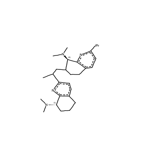 CC(C)c1ccc2c(n1)[C@H](N(C)C)C(CC(C)c1ccc3c(n1)[C@@H](N(C)C)CCC3)CC2